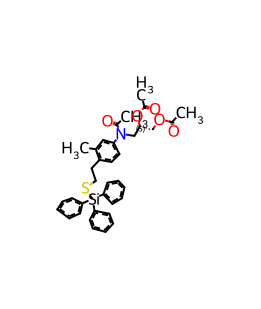 CC(=O)OC[C@H](CN(C(C)=O)c1ccc(CCS[Si](c2ccccc2)(c2ccccc2)c2ccccc2)c(C)c1)OC(C)=O